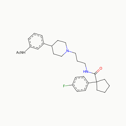 CC(=O)Nc1cccc(C2CCN(CCCNC(=O)C3(c4ccc(F)cc4)CCCC3)CC2)c1